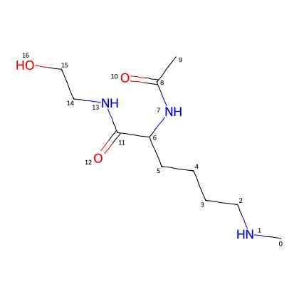 CNCCCCC(NC(C)=O)C(=O)NCCO